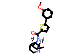 COc1cccc(-c2ccc(C(=O)N[C@@H]3C4CCN(CC4)[C@H]3C)s2)c1